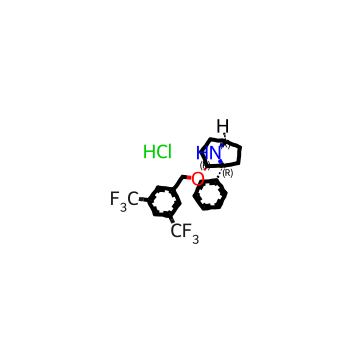 Cl.FC(F)(F)c1cc(CO[C@@H]2CC[C@H]3CC[C@]2(c2ccccc2)N3)cc(C(F)(F)F)c1